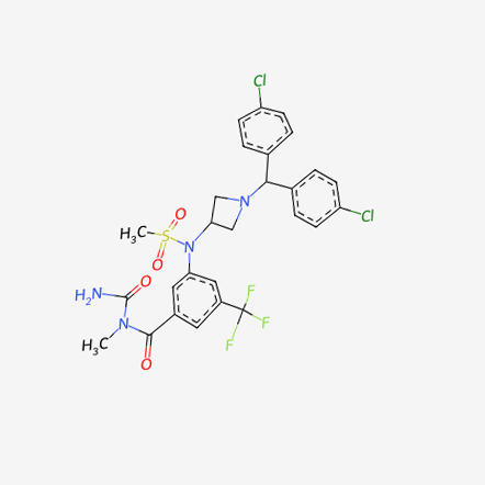 CN(C(N)=O)C(=O)c1cc(N(C2CN(C(c3ccc(Cl)cc3)c3ccc(Cl)cc3)C2)S(C)(=O)=O)cc(C(F)(F)F)c1